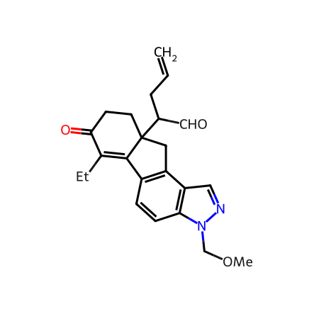 C=CCC(C=O)C12CCC(=O)C(CC)=C1c1ccc3c(cnn3COC)c1C2